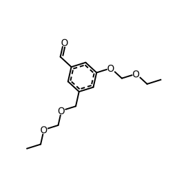 CCOCOCc1cc(C=O)cc(OCOCC)c1